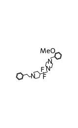 COc1ccccc1CN1CCN(CC(F)(F)C2CCN(CCc3ccccc3)CC2)CC1